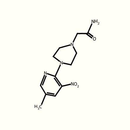 Cc1cnc(N2CCN(CC(N)=O)CC2)c([N+](=O)[O-])c1